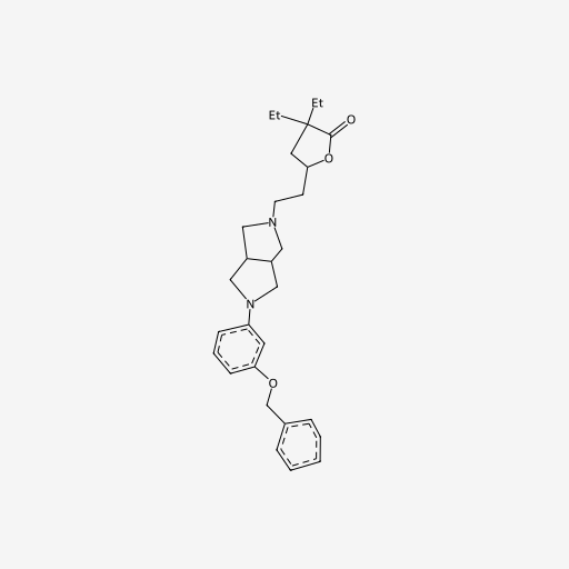 CCC1(CC)CC(CCN2CC3CN(c4cccc(OCc5ccccc5)c4)CC3C2)OC1=O